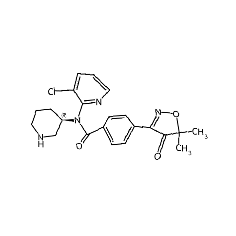 CC1(C)ON=C(c2ccc(C(=O)N(c3ncccc3Cl)[C@@H]3CCCNC3)cc2)C1=O